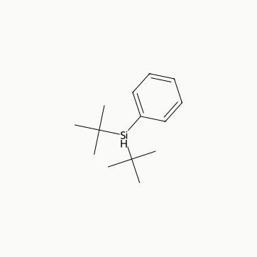 CC(C)(C)[SiH](c1ccccc1)C(C)(C)C